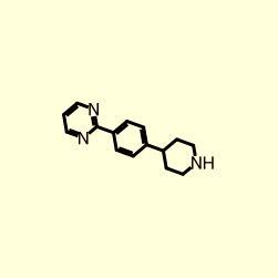 c1cnc(-c2ccc(C3CCNCC3)cc2)nc1